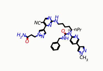 CCC[C@@H](CCCCNc1ncc(C#N)c(-c2cnn(CCC(N)=O)c2)n1)N(C(=O)NCc1ccccc1)c1ccc(-c2cnn(C)c2)cn1